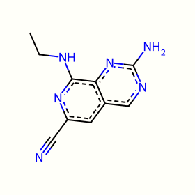 CCNc1nc(C#N)cc2cnc(N)nc12